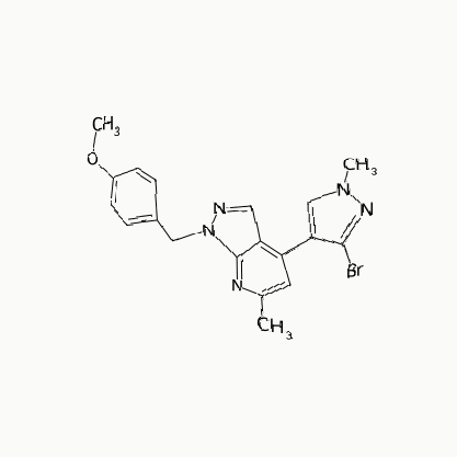 COc1ccc(Cn2ncc3c(-c4cn(C)nc4Br)cc(C)nc32)cc1